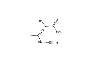 CC(=O)NC#N.NC(=O)CBr